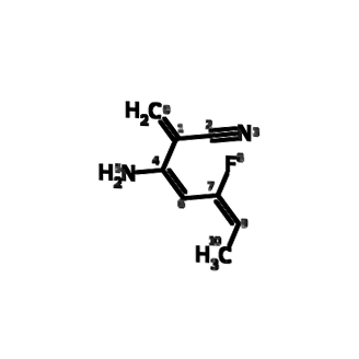 C=C(C#N)/C(N)=C\C(F)=C/C